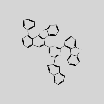 c1ccc(-c2cccc3cc(-c4nc(-c5ccc6ccccc6c5)nc(-c5cccc6oc7ccccc7c56)n4)c4c5ccccc5oc4c23)cc1